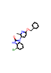 Cc1nc(OCc2ccccc2)ccc1-n1c(=O)[nH]c2c(Br)cccc21